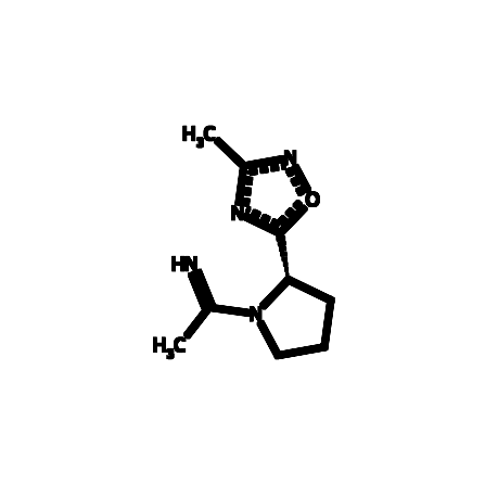 CC(=N)N1CCC[C@H]1c1nc(C)no1